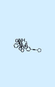 NS(=O)(=O)c1ccccc1S(=O)(=O)NC(=O)c1ccc(C#CC2CCCC2)cc1F